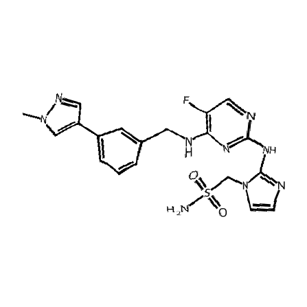 Cn1cc(-c2cccc(CNc3nc(Nc4nccn4CS(N)(=O)=O)ncc3F)c2)cn1